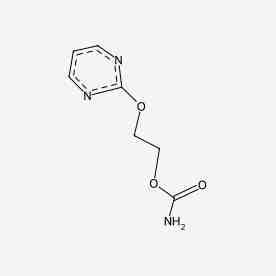 NC(=O)OCCOc1ncccn1